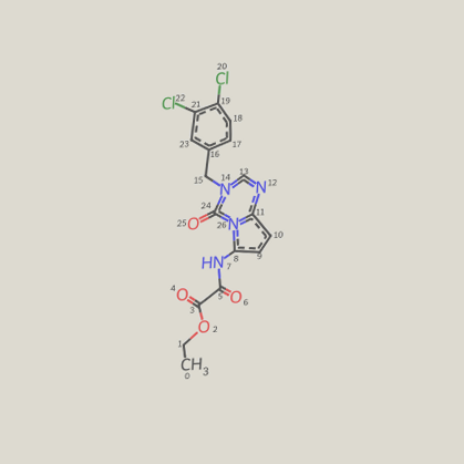 CCOC(=O)C(=O)Nc1ccc2ncn(Cc3ccc(Cl)c(Cl)c3)c(=O)n12